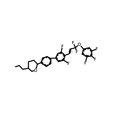 CCCC1CCC(c2ccc(-c3cc(F)c(/C=C/C(F)(F)Oc4cc(F)c(F)c(F)c4)c(F)c3)cc2)OC1